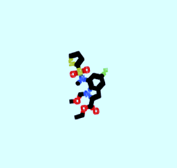 CCOC(=O)c1cc2cc(F)cc(N(C)S(=O)(=O)c3cccs3)c2n1COC